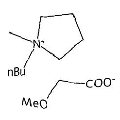 CCCC[N+]1(C)CCCC1.COCC(=O)[O-]